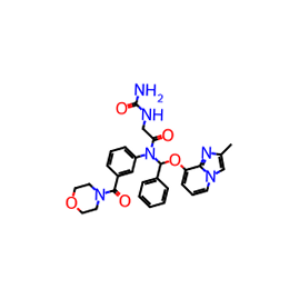 Cc1cn2cccc(OC(c3ccccc3)N(C(=O)CNC(N)=O)c3cccc(C(=O)N4CCOCC4)c3)c2n1